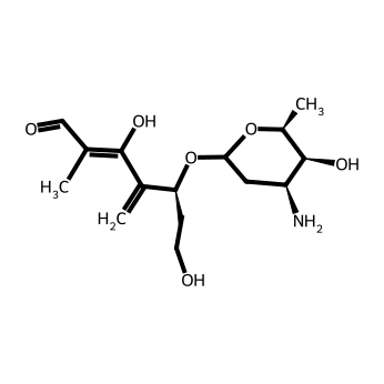 C=C(/C(O)=C(\C)C=O)[C@H](CCO)OC1C[C@H](N)[C@H](O)[C@H](C)O1